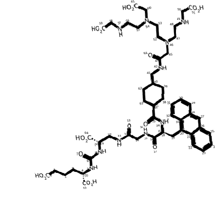 O=C(O)CCC[C@H](NC(=O)N[C@@H](CNC(=O)CNC(=O)[C@H](Cc1c2ccccc2cc2ccccc12)NC(=O)C1CCC(CNC(=O)CN(CCNCC(=O)O)CCN(CCNCC(=O)O)CC(=O)O)CC1)C(=O)O)C(=O)O